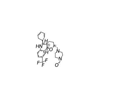 O=CN1CCN(C[C@H]2CC[C@@H]3[C@H](O2)c2cc(C(F)(F)F)ccc2N[C@H]3C2C=CC=CC2)CC1